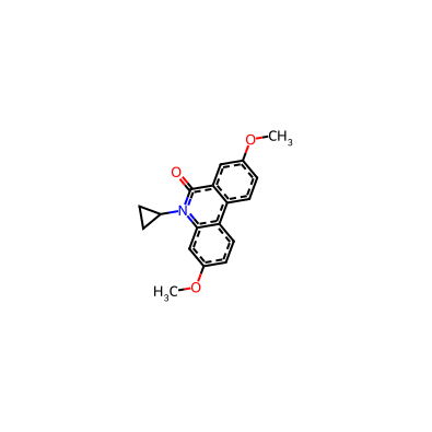 COc1ccc2c(c1)c(=O)n(C1CC1)c1cc(OC)ccc21